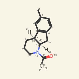 Cc1ccc2c(c1)[C@@H]1CCCN(C(=O)C(F)(F)F)[C@@H]1C2